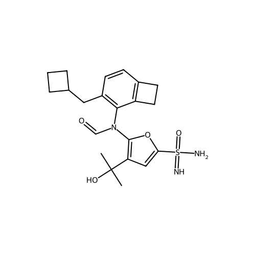 CC(C)(O)c1cc(S(=N)(N)=O)oc1N(C=O)c1c(CC2CCC2)ccc2c1CC2